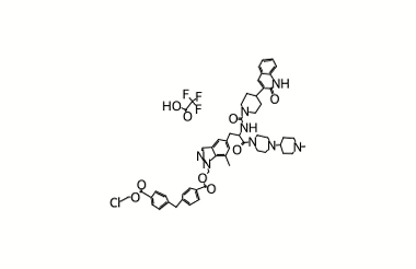 Cc1cc(CC(NC(=O)N2CCC(c3cc4ccccc4[nH]c3=O)CC2)C(=O)N2CCN(C3CCN(C)CC3)CC2)cc2cnn(COC(=O)c3ccc(Cc4ccc(C(=O)OCCl)cc4)cc3)c12.O=C(O)C(F)(F)F